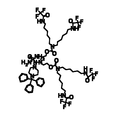 NP(N)(=O)N(N(CCOC(=O)N(CCCCCCNC(=O)C(F)(F)F)CCCCCCNC(=O)C(F)(F)F)CCOC(=O)N(CCCCCCNC(=O)C(F)(F)F)CCCCCCNC(=O)C(F)(F)F)N1CCN(C(c2ccccc2)(c2ccccc2)c2ccccc2)CC1